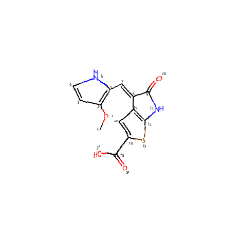 COc1cc[nH]c1C=C1C(=O)Nc2sc(C(=O)O)cc21